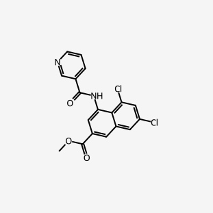 COC(=O)c1cc(NC(=O)c2cccnc2)c2c(Cl)cc(Cl)cc2c1